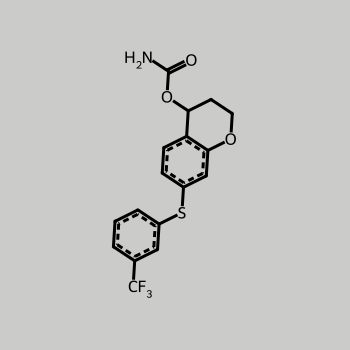 NC(=O)OC1CCOc2cc(Sc3cccc(C(F)(F)F)c3)ccc21